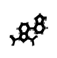 CC(=O)c1cn(C(C)C)c2c(-c3ncnc4[nH]ccc34)cccc12